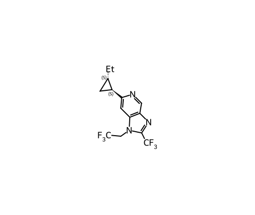 CC[C@H]1C[C@@H]1c1cc2c(cn1)nc(C(F)(F)F)n2CC(F)(F)F